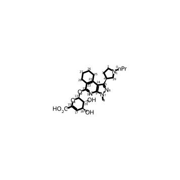 CCCN1CC[C@H](c2nn(C)c3nc(O[C@@H]4OC(C(=O)O)=C[C@H](O)[C@H]4O)c4c(c23)CCCC4)C1